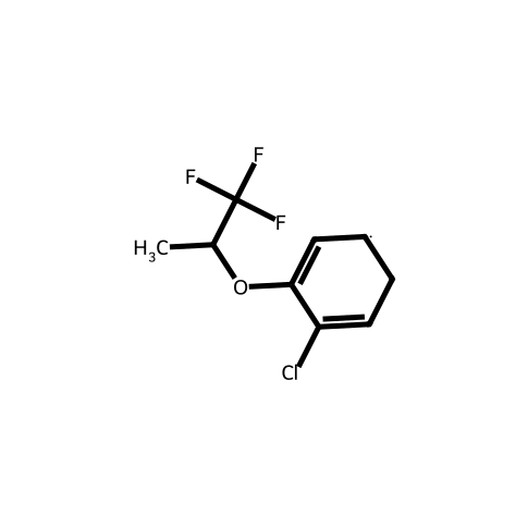 CC(OC1=C[CH]CC=C1Cl)C(F)(F)F